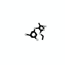 CCOc1n[nH]c(C)c1Oc1cc(Cl)cc(Cl)c1